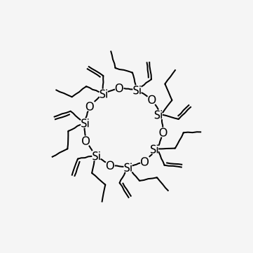 C=C[Si]1(CCC)O[Si](C=C)(CCC)O[Si](C=C)(CCC)O[Si](C=C)(CCC)O[Si](C=C)(CCC)O[Si](C=C)(CCC)O[Si](C=C)(CCC)O1